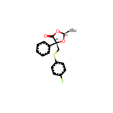 CC(C)(C)[C@@H]1OC(=O)[C@@](CSc2ccc(F)cc2)(c2ccccc2)O1